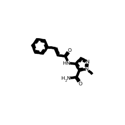 Cn1ncc(NC(=O)C=Cc2ccccc2)c1C(N)=O